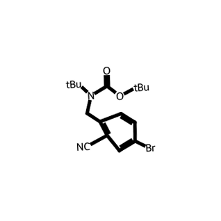 CC(C)(C)OC(=O)N(Cc1ccc(Br)cc1C#N)C(C)(C)C